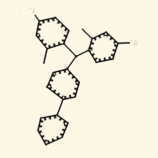 Cc1cc(N)ccc1C(c1ccc(-c2ccccc2)cc1)c1ccc(N)cc1C